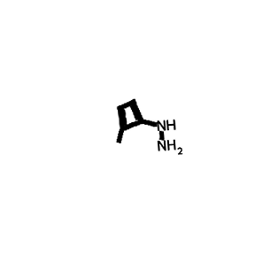 CC1=CC=C1NN